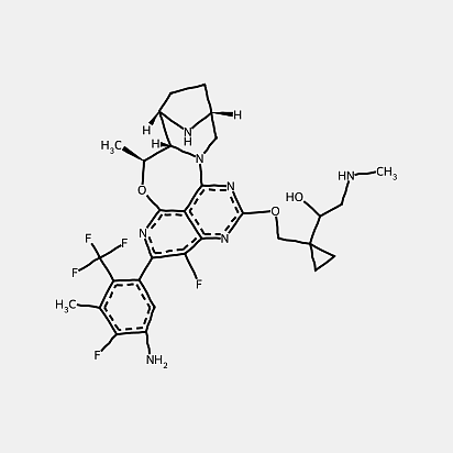 CNCC(O)C1(COc2nc3c4c(nc(-c5cc(N)c(F)c(C)c5C(F)(F)F)c(F)c4n2)O[C@@H](C)[C@@H]2[C@@H]4CC[C@H](CN32)N4)CC1